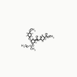 COC[C@H](C)Oc1cc(Oc2ccc(OC)cc2)cc(C(=O)Nc2ccc(C(=O)OC)cn2)c1